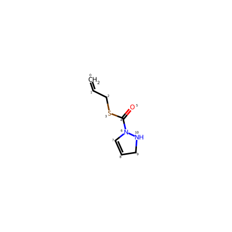 C=CCSC(=O)N1C=CCN1